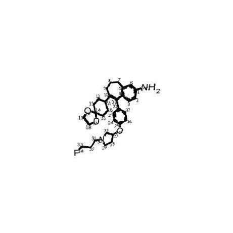 Nc1ccc2c(c1)CCCC(C1CCC3(CC1)OCCO3)=C2c1ccc(OC2CCN(CCCF)C2)cc1